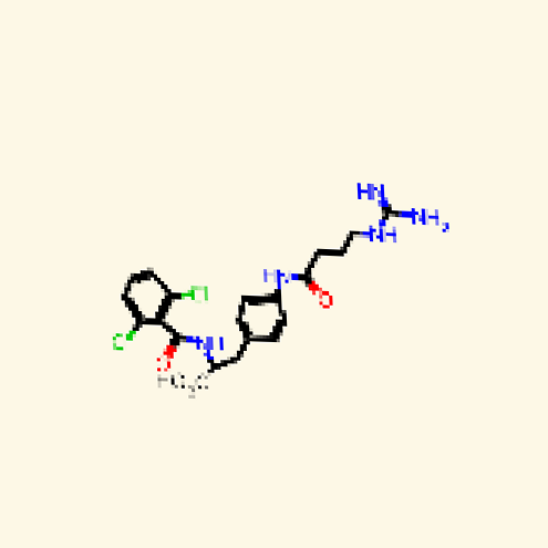 N=C(N)NCCCC(=O)Nc1ccc(C[C@H](NC(=O)c2c(Cl)cccc2Cl)C(=O)O)cc1